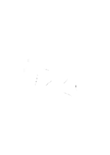 OBc1ccc(-c2ccc(Cl)cc2)cc1